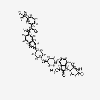 Cn1c(=O)n(C2CCC(=O)NC2=O)c2cccc(N3CCC(O[C@H]4CC[C@H](n5cc6cc(NC(=O)c7cccc(C(F)(F)F)n7)ccc6n5)CC4)CC3)c21